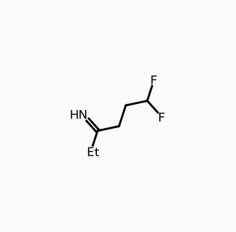 CCC(=N)CCC(F)F